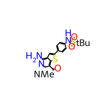 CNC(=O)c1cnc(N)c2cc(-c3ccc(NS(=O)(=O)C(C)(C)C)cc3)sc12